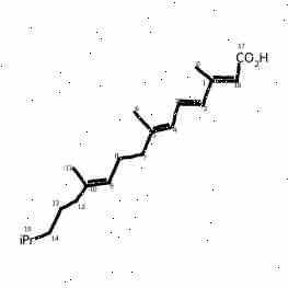 CC(/C=C/C=C(\C)CC/C=C(\C)CCCC(C)C)=C\C(=O)O